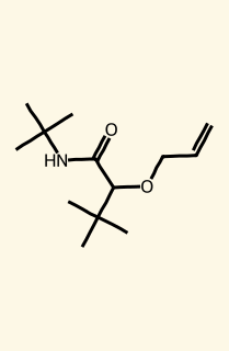 C=CCOC(C(=O)NC(C)(C)C)C(C)(C)C